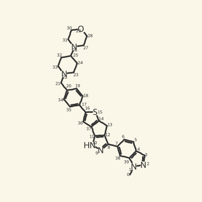 Cn1ncc2ccc(-c3n[nH]c4c3Cc3sc(-c5ccc(CN6CCC(N7CCOCC7)CC6)cc5)cc3-4)cc21